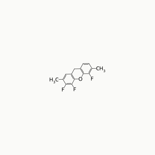 Cc1cc2c(c(F)c1F)Oc1c(ccc(C)c1F)C2